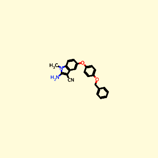 Cn1c(N)c(C#N)c2cc(Oc3ccc(OCc4ccccc4)cc3)ccc21